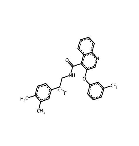 Cc1ccc([C@@H](F)CNC(=O)c2c(Oc3cccc(C(F)(F)F)c3)cnc3ccccc23)cc1C